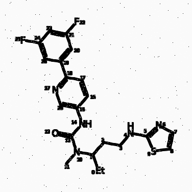 CCC(CCNc1nccs1)N(C)C(=O)Nc1ccc(-c2cc(F)cc(F)c2)nc1